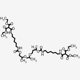 CCOC(=O)C(C(=O)NCCCCCCNC(=O)OCC(C)OCC(C)OCCC(C)OC(=O)NCCCCCCNC(=O)C(C(=O)OCC)C(=O)OCC)C(=O)OCC